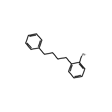 C[C](C)c1ccccc1CCCCc1ccccc1